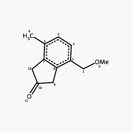 COCc1ccc(C)c2c1CC(=O)C2